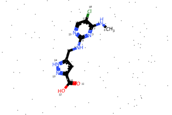 CNc1nc(NCc2cc(C(=O)O)n[nH]2)ncc1Cl